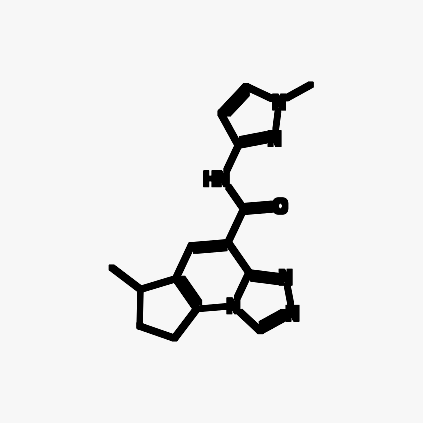 CC1CCc2c1cc(C(=O)Nc1ccn(C)n1)c1nncn21